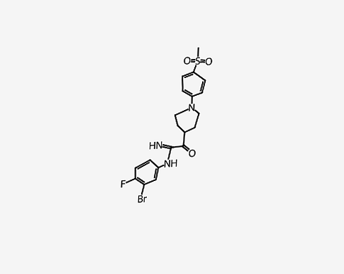 CS(=O)(=O)c1ccc(N2CCC(C(=O)C(=N)Nc3ccc(F)c(Br)c3)CC2)cc1